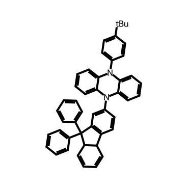 CC(C)(C)c1ccc(N2c3ccccc3N(c3ccc4c(c3)C(c3ccccc3)(c3ccccc3)C3C=CC=CC43)c3ccccc32)cc1